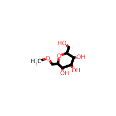 COCC1OC(CO)C(O)C(O)C1O